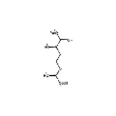 COC(=O)C(O)CCOC(O)C(=O)O